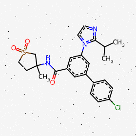 CC(C)c1nccn1-c1cc(C(=O)NC2(C)CCS(=O)(=O)C2)cc(-c2ccc(Cl)cc2)c1